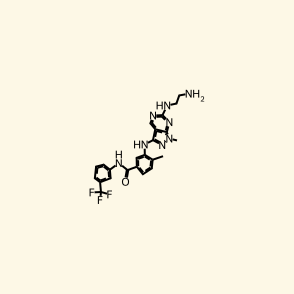 Cc1ccc(C(=O)Nc2cccc(C(F)(F)F)c2)cc1Nc1nn(C)c2nc(NCCN)ncc12